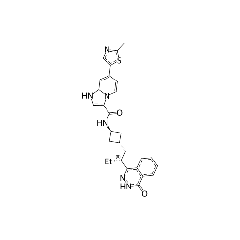 CC[C@H](C[C@H]1C[C@H](NC(=O)C2=CNC3C=C(c4cnc(C)s4)C=CN23)C1)c1n[nH]c(=O)c2ccccc12